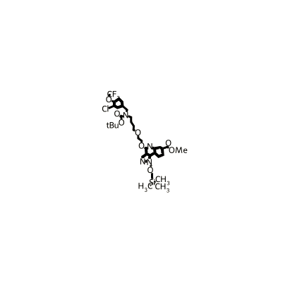 COC(=O)c1ccc2c(c1)nc(OCCOCCCCN(Cc1ccc(OC(F)(F)F)c(Cl)c1)C(=O)OC(C)(C)C)c1cnn(COCC[Si](C)(C)C)c12